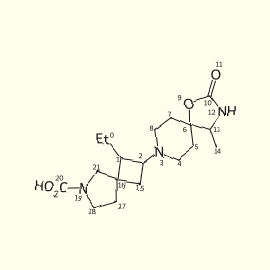 CCC1C(N2CCC3(CC2)OC(=O)NC3C)CC12CCN(C(=O)O)C2